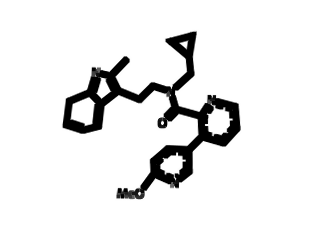 COc1ccc(-c2cccnc2C(=O)N(CCC2=C(C)N=C3CC=CC=C32)CC2CC2)cn1